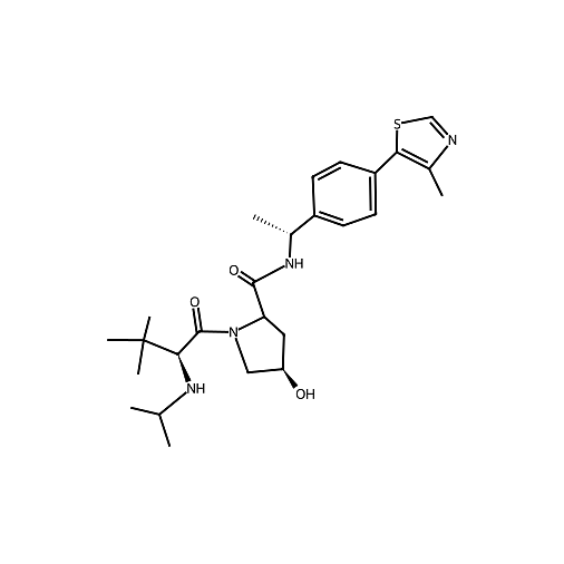 Cc1ncsc1-c1ccc([C@@H](C)NC(=O)C2C[C@@H](O)CN2C(=O)[C@@H](NC(C)C)C(C)(C)C)cc1